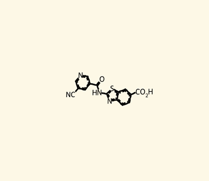 N#Cc1cncc(C(=O)Nc2nc3ccc(C(=O)O)cc3s2)c1